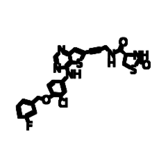 O=C1N[C@H](C(=O)NCC#Cc2cc3ncnc(Nc4ccc(OCc5cccc(F)c5)c(Cl)c4)c3s2)CS1